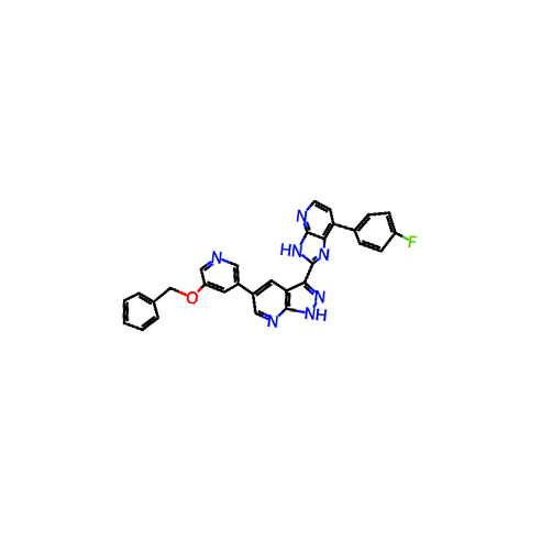 Fc1ccc(-c2ccnc3[nH]c(-c4n[nH]c5ncc(-c6cncc(OCc7ccccc7)c6)cc45)nc23)cc1